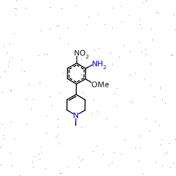 COc1c(C2=CCN(C)CC2)ccc([N+](=O)[O-])c1N